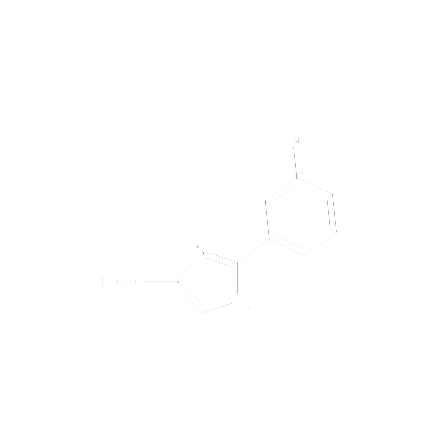 CCOC(=O)c1csc(-c2cccc(Br)c2)n1